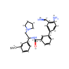 COc1cccc(C(CN2CCCC2)NC(=O)c2cccc(-c3ccc(N)c(C=N)c3)c2)c1